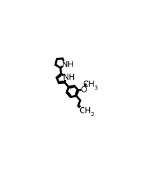 C=CCc1ccc(-c2ccc(C3CCCN3)[nH]2)cc1OC